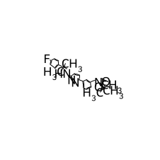 CC(C)(C)ON(C=O)Cc1cccc(-c2ccc(NCC(C)(C)c3ccc(F)cc3)nn2)c1